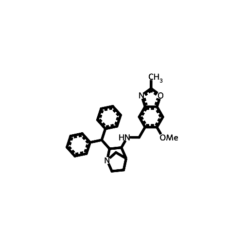 COc1cc2oc(C)nc2cc1CNC1C2CCN(C2)C1C(c1ccccc1)c1ccccc1